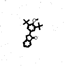 COc1c(C(C)(C)C)cc(C2Cc3ccccc3C2=O)cc1C(C)(C)C